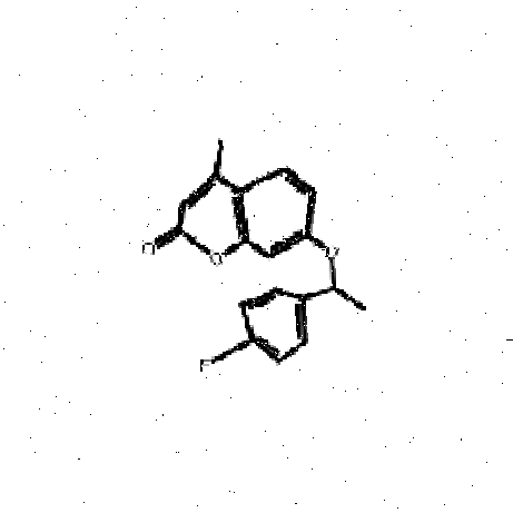 Cc1cc(=O)oc2cc(OC(C)c3ccc(F)cc3)ccc12